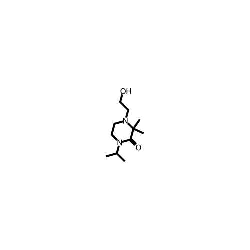 CC(C)N1CCN(CCO)C(C)(C)C1=O